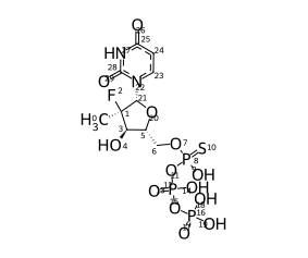 C[C@@]1(F)[C@H](O)[C@@H](COP(O)(=S)OP(=O)(O)OP(=O)(O)O)O[C@H]1n1ccc(=O)[nH]c1=O